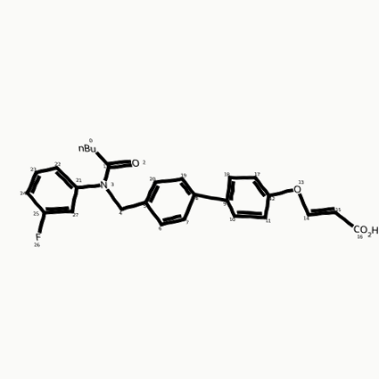 CCCCC(=O)N(Cc1ccc(-c2ccc(O/C=C/C(=O)O)cc2)cc1)c1cccc(F)c1